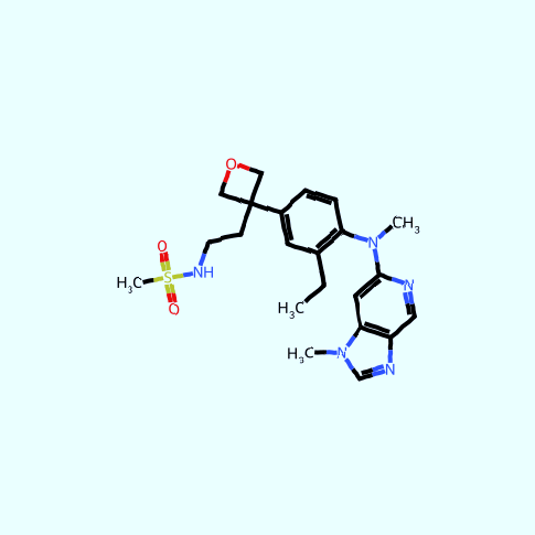 CCc1cc(C2(CCNS(C)(=O)=O)COC2)ccc1N(C)c1cc2c(cn1)ncn2C